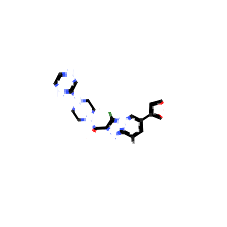 O=C(c1nc2c(C(F)(F)F)cc(-c3ccoc3)cn2c1Cl)N1CCN(c2cnccn2)CC1